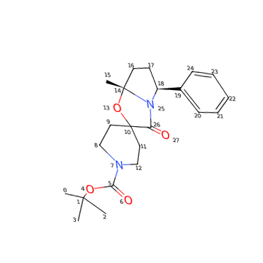 CC(C)(C)OC(=O)N1CCC2(CC1)O[C@]1(C)CC[C@@H](c3ccccc3)N1C2=O